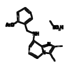 CC(=O)Oc1ccccc1CNc1cccn2c(C)c(C)nc12.CS(=O)(=O)O